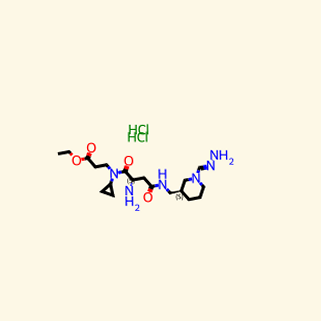 CCOC(=O)CCN(C(=O)[C@@H](N)CC(=O)NC[C@@H]1CCCN(C=NN)C1)C1CC1.Cl.Cl